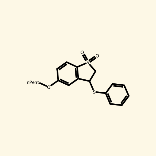 CCCCCOc1ccc2c(c1)C(Sc1ccccc1)CS2(=O)=O